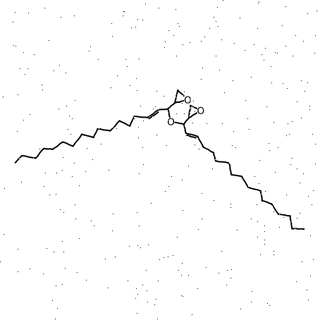 CCCCCCCCCCCCCC/C=C/C(OC(/C=C/CCCCCCCCCCCCCC)C1CO1)C1CO1